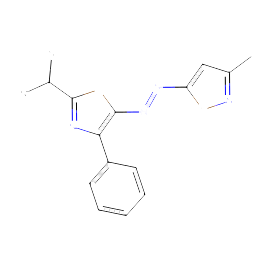 [C-]#[N+]C([N+]#[C-])c1nc(-c2ccccc2)c(/N=N/c2cc(C)ns2)s1